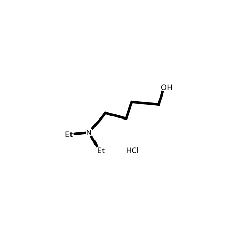 CCN(CC)CCCCO.Cl